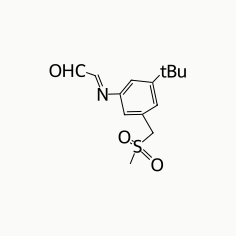 CC(C)(C)c1cc(CS(C)(=O)=O)cc(N=CC=O)c1